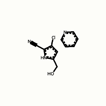 N#Cc1[nH]c(CO)cc1Cl.c1ccncc1